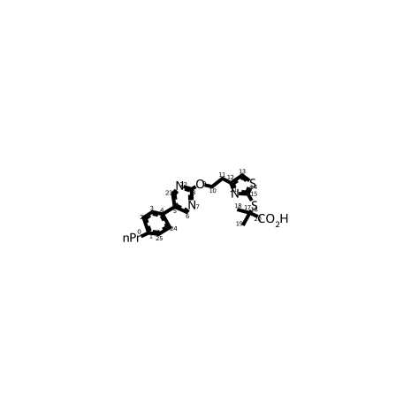 CCCc1ccc(-c2cnc(OCCc3csc(SC(C)(C)C(=O)O)n3)nc2)cc1